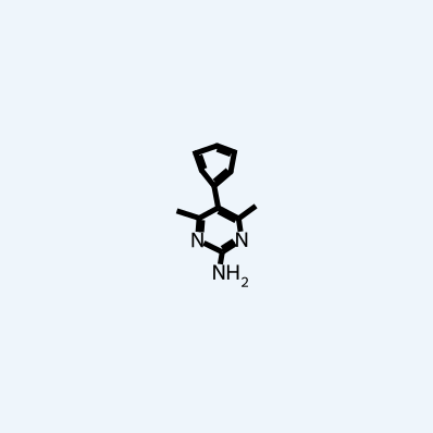 Cc1nc(N)nc(C)c1-c1ccccc1